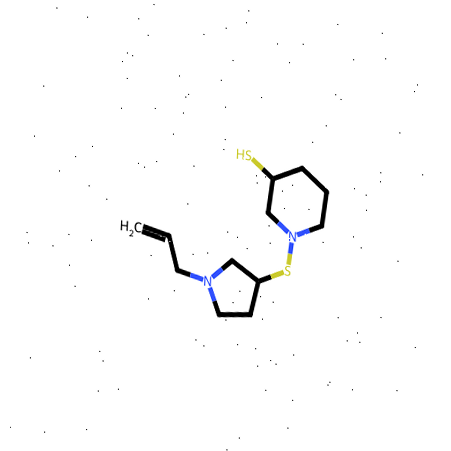 C=CCN1CCC(SN2CCCC(S)C2)C1